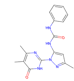 Cc1cc(NC(=O)Nc2ccccc2)n(-c2nc(C)c(C)c(=O)[nH]2)n1